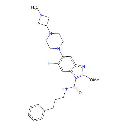 COc1nc2cc(N3CCN(C4CN(C)C4)CC3)c(F)cc2n1C(=O)NCCCc1ccccc1